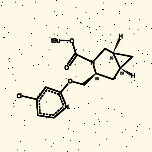 CC(C)(C)OC(=O)N1C[C@H]2C[C@H]2C[C@H]1COc1cc(Cl)ccn1